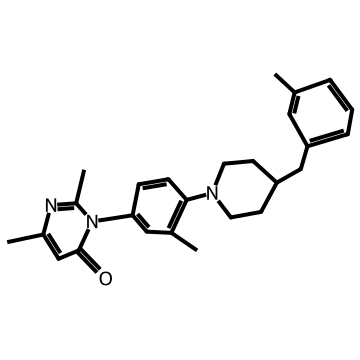 Cc1cccc(CC2CCN(c3ccc(-n4c(C)nc(C)cc4=O)cc3C)CC2)c1